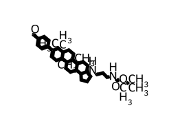 CC(C)(C)OC(=O)NCCCNC12CCCC1C1CCC3C4(C)CC=C(c5ccc(C=O)cc5)C(C)(C)C4CC[C@@]3(C)C1CC2